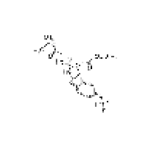 CCOC(=O)CNP(=O)(NCC(=O)OC(C)C)Nc1nc2ccc(OC(F)(F)F)cc2s1